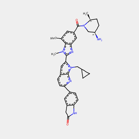 COc1cc(C(=O)N2C[C@H](N)CC[C@@H]2C)cc2nc(-c3cc4ccc(-c5ccc6c(c5)CC(=O)N6)nc4n3CC3CC3)n(C)c12